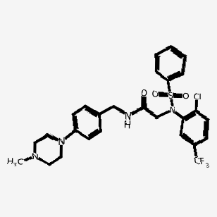 CN1CCN(c2ccc(CNC(=O)CN(c3cc(C(F)(F)F)ccc3Cl)S(=O)(=O)c3ccccc3)cc2)CC1